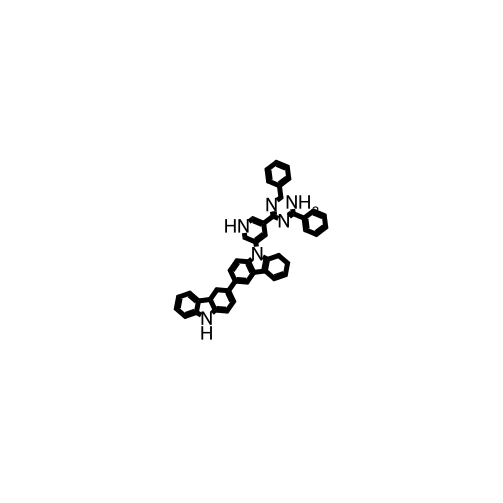 N/C(=N\C(=N/Cc1ccccc1)C1=CNCC(n2c3c(c4cc(C5=CC=C6Nc7ccccc7C6C5)ccc42)C=CCC3)=C1)c1ccccc1